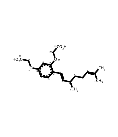 CC(C)=CCCC(C)C=Cc1ccc(OCC(=O)O)cc1OCC(=O)O